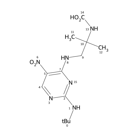 CC(C)(C)Nc1ncc([N+](=O)[O-])c(NCC(C)(C)NC(=O)O)n1